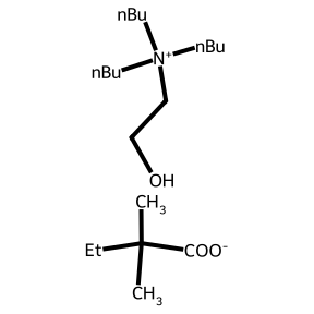 CCC(C)(C)C(=O)[O-].CCCC[N+](CCO)(CCCC)CCCC